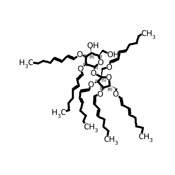 CCCCC=CC=COC[C@H]1O[C@@](COC=CC=CCCCC)(O[C@H]2O[C@H](CO)[C@@H](O)[C@H](OC=CC=CCCCC)[C@H]2OC=CC=CCCCC)[C@@H](OC=CC=CCCCC)[C@@H]1OC=CC=CCCCC